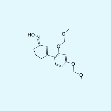 COCOc1ccc(C2=C/C(=N/O)CCC2)c(OCOC)c1